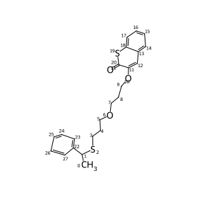 CC(SCCCOCCCOc1cc2ccccc2sc1=O)c1ccccc1